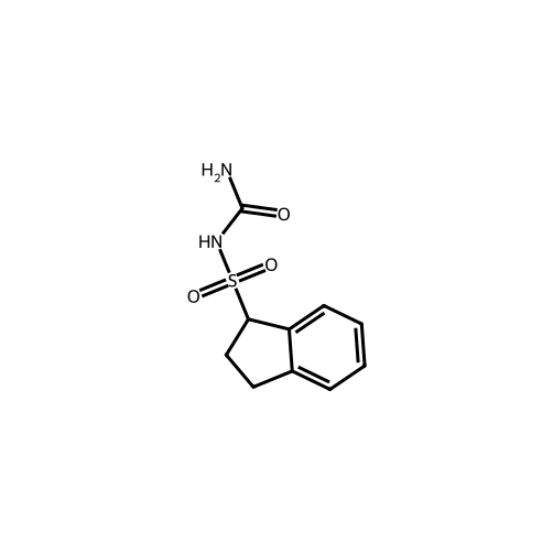 NC(=O)NS(=O)(=O)C1CCc2ccccc21